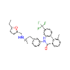 CCc1ccc(CN[C@H]2Cc3ccc(NC(=O)c4cccc(C)c4-c4ccc(C(F)(F)F)cc4)cc3C2)o1